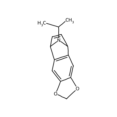 CC(C)N1C2C=CC1c1cc3c(cc12)OCO3